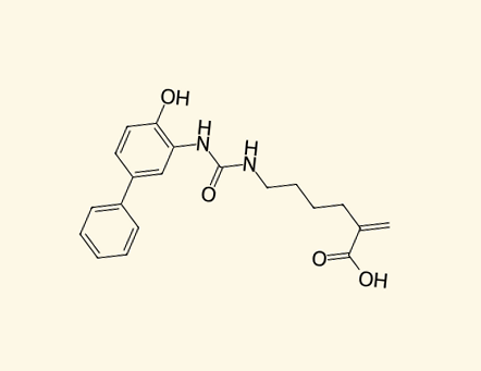 C=C(CCCCNC(=O)Nc1cc(-c2ccccc2)ccc1O)C(=O)O